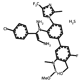 COSN(C)c1cc(-c2ccc(-n3cc(C(F)(F)F)nc3C)c(N(N)/C(=C\N)c3ccc(Cl)cc3)c2)cc(F)c1CO.S